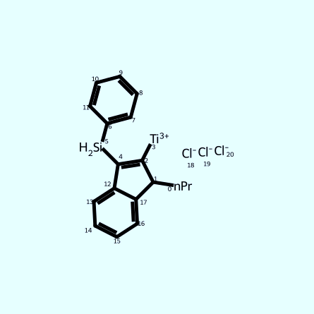 CCCC1[C]([Ti+3])=C([SiH2]c2ccccc2)c2ccccc21.[Cl-].[Cl-].[Cl-]